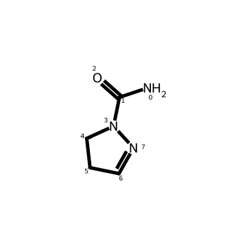 NC(=O)N1[CH]CC=N1